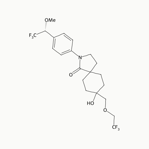 CO[C@H](c1ccc(N2CCC3(CCC(O)(COCC(F)(F)F)CC3)C2=O)cc1)C(F)(F)F